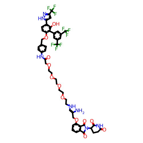 N/C(=C\NCCOCCOCCOCCOCC(=O)Nc1ccc(COc2ccc(-c3cc(C(F)(F)F)n[nH]3)c(O)c2-c2cc(C(F)(F)F)cc(C(F)(F)F)c2)cc1)COc1cccc2c1C(=O)N(C1CCC(=O)NC1=O)C2=O